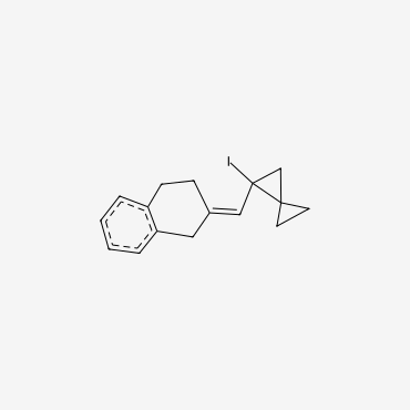 IC1(/C=C2\CCc3ccccc3C2)CC12CC2